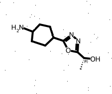 C[C@@H](O)c1nnc(C2CCC(N)CC2)o1